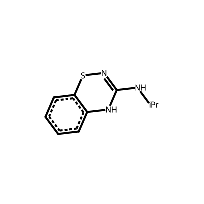 CC(C)NC1=NSc2ccccc2N1